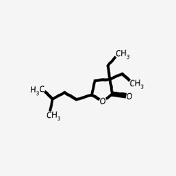 CCC1(CC)CC(CCC(C)C)OC1=O